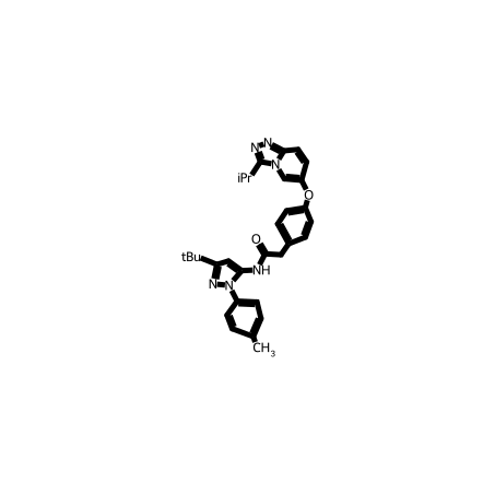 Cc1ccc(-n2nc(C(C)(C)C)cc2NC(=O)Cc2ccc(Oc3ccc4nnc(C(C)C)n4c3)cc2)cc1